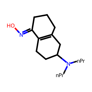 CCCN(CCC)C1CCC2=C(CCCC2=NO)C1